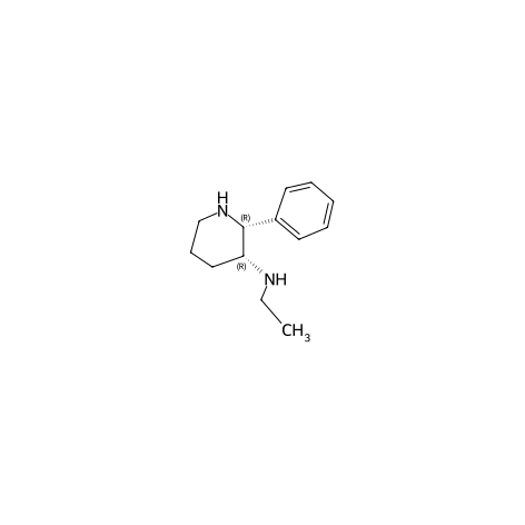 CCN[C@@H]1CCCN[C@@H]1c1ccccc1